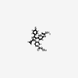 CC(C)(C)OC(=O)N1CCC(n2c(C3CC3)nc(-c3ccc(F)cc3)c2-c2ccc3nc(N)cn3n2)CC1